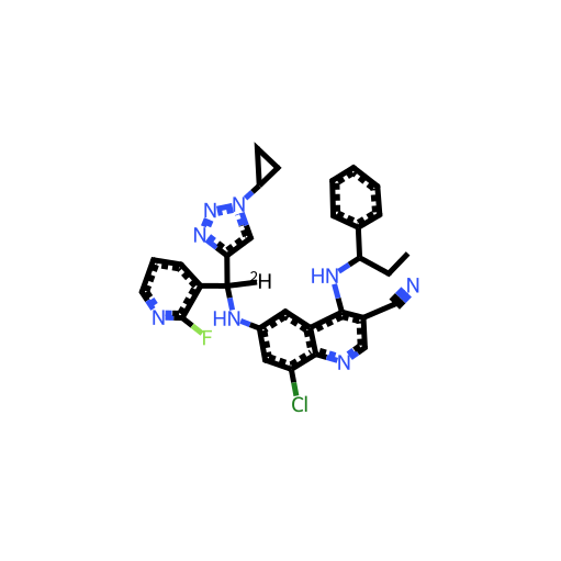 [2H]C(Nc1cc(Cl)c2ncc(C#N)c(NC(CC)c3ccccc3)c2c1)(c1cn(C2CC2)nn1)c1cccnc1F